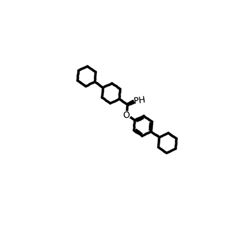 P=C(Oc1ccc(C2CCCCC2)cc1)C1CCC(C2CCCCC2)CC1